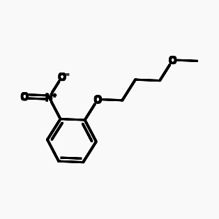 COCCCOc1ccccc1[N+](=O)[O-]